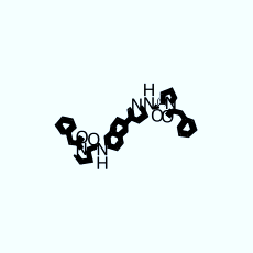 O=C(Nc1ccc2cc(-c3ccc(NC(=O)[C@@H]4CCCN4C(=O)Cc4ccccc4)nc3)ccc2c1)C1CCCN1C(=O)Cc1ccccc1